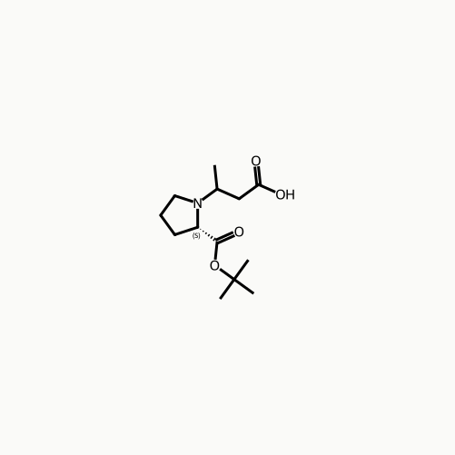 CC(CC(=O)O)N1CCC[C@H]1C(=O)OC(C)(C)C